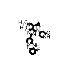 C=N/C=C(\c1c(C)nc(-c2ccnc(Nc3c(F)cccc3F)c2)nc1NC1CCNC(=O)C1)C1CC1